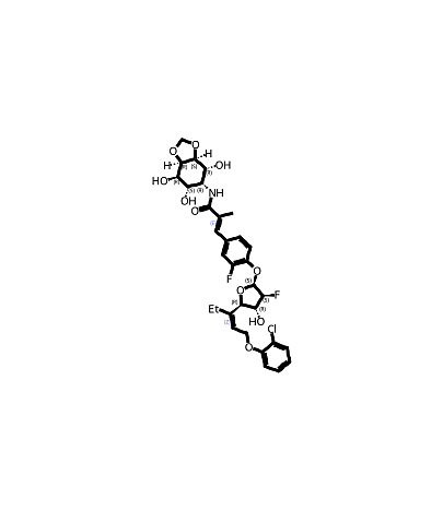 CC/C(=C/COc1ccccc1Cl)[C@H]1O[C@@H](Oc2ccc(/C=C(\C)C(=O)N[C@@H]3[C@H](O)[C@@H](O)[C@H]4OCO[C@H]4[C@@H]3O)cc2F)[C@@H](F)[C@@H]1O